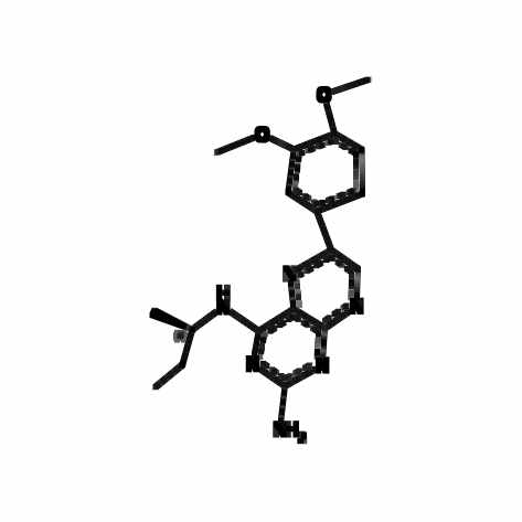 CC[C@@H](C)Nc1nc(N)nc2ncc(-c3ccc(OC)c(OC)c3)nc12